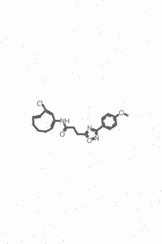 COc1ccc(-c2noc(CCC(=O)NC3=C/CCC/C=C/C(Cl)=C\3)n2)cc1